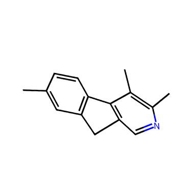 Cc1ccc2c(c1)Cc1cnc(C)c(C)c1-2